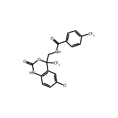 O=C1Nc2ccc(Cl)cc2C(CNC(=O)c2ccc(C(F)(F)F)cc2)(C(F)(F)F)O1